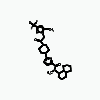 Cc1cc(C(F)(F)F)nn1CC(=O)N1CCC(c2nc(C(=O)N(C)C3CCCC4CCCCC43)cs2)CC1